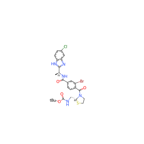 C[C@H](NC(=O)c1ccc(C(=O)N2CCS[C@@H]2CNC(=O)OC(C)(C)C)c(Br)c1)c1nc2cc(Cl)ccc2[nH]1